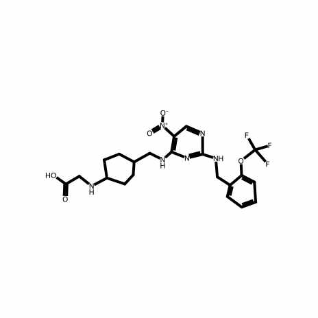 O=C(O)CNC1CCC(CNc2nc(NCc3ccccc3OC(F)(F)F)ncc2[N+](=O)[O-])CC1